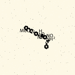 COC1(Cc2ccccc2C)CCN(c2ccc(C(=N)NS(=O)(=O)c3ccc(NC(C)(C)CSc4ccccc4)c([N+](=O)[O-])c3)cc2)CC1